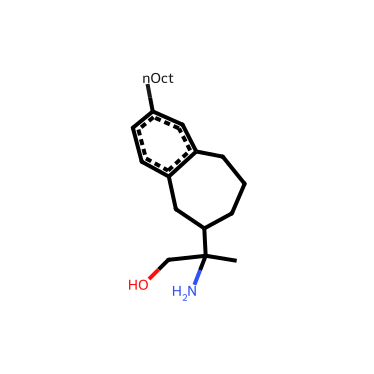 CCCCCCCCc1ccc2c(c1)CCCC(C(C)(N)CO)C2